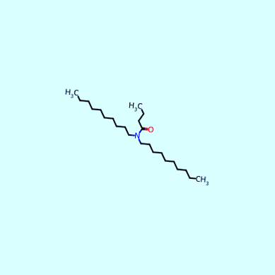 CCCCCCCCCCN(CCCCCCCCCC)C(=O)CCC